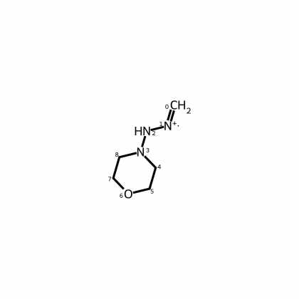 C=[N+]NN1CCOCC1